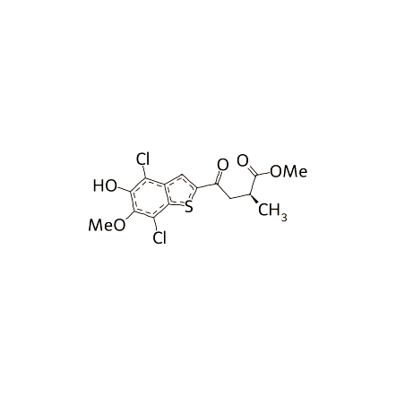 COC(=O)[C@@H](C)CC(=O)c1cc2c(Cl)c(O)c(OC)c(Cl)c2s1